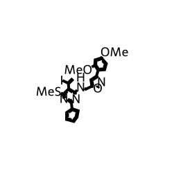 C=C(I)c1c(NCc2cc(-c3ccc(OC)cc3OC)no2)nc(-c2ccccc2)nc1SC